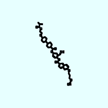 C=C(C)C(=O)OCCOC1CCC(C2CCC(C(=O)Oc3ccc(OC(=O)c4ccc5cc(OCCCOC6CO6)ccc5c4)c(C=N)c3)CC2)CC1